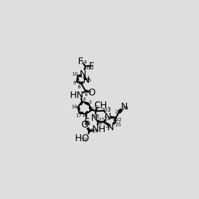 CC1(c2cc(NC(=O)c3ccn(C(F)F)n3)ccc2F)Cn2c(C#N)cnc2C(NC(=O)O)=N1